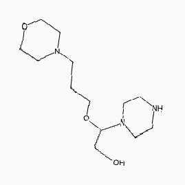 OCC(OCCCN1CCOCC1)N1CCNCC1